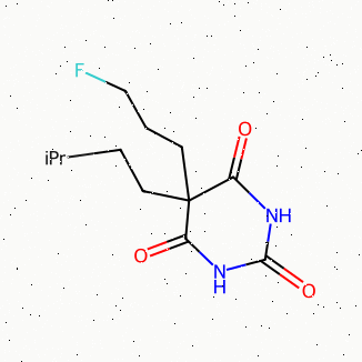 CC(C)CCC1(CCCF)C(=O)NC(=O)NC1=O